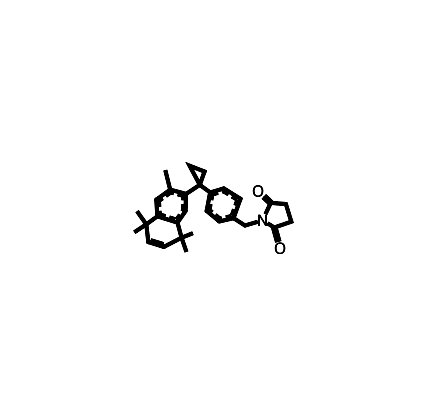 Cc1cc2c(cc1C1(c3ccc(CN4C(=O)CCC4=O)cc3)CC1)C(C)(C)C=CC2(C)C